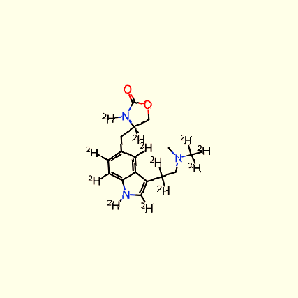 [2H]c1c(C[C@@]2([2H])COC(=O)N2[2H])c([2H])c2c(C([2H])([2H])CN(C)C([2H])([2H])[2H])c([2H])n([2H])c2c1[2H]